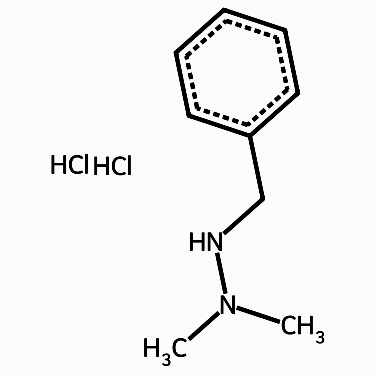 CN(C)NCc1ccccc1.Cl.Cl